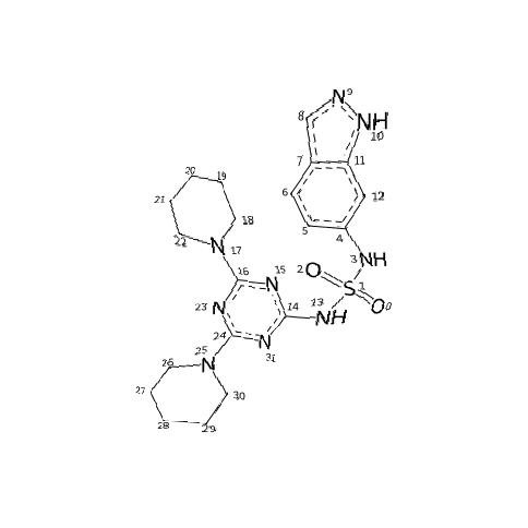 O=S(=O)(Nc1ccc2cn[nH]c2c1)Nc1nc(N2CCCCC2)nc(N2CCCCC2)n1